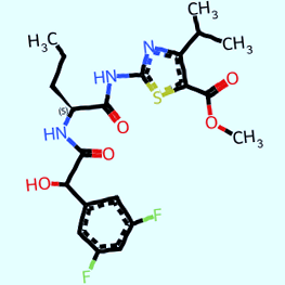 CCC[C@H](NC(=O)C(O)c1cc(F)cc(F)c1)C(=O)Nc1nc(C(C)C)c(C(=O)OC)s1